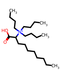 CCCCCCCCC(C(=O)O)[N+](CCCC)(CCCC)CCCC